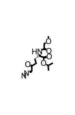 COCC(=O)N[C@@H](CCC(=O)C=[N+]=[N-])C(=O)OC(C)C